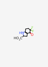 O=C(O)C1CC2=C(CCC(F)(F)C2=O)N1